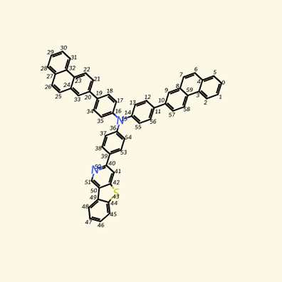 c1ccc2c(c1)ccc1cc(-c3ccc(N(c4ccc(-c5ccc6c(ccc7ccccc76)c5)cc4)c4ccc(-c5cc6sc7ccccc7c6cn5)cc4)cc3)ccc12